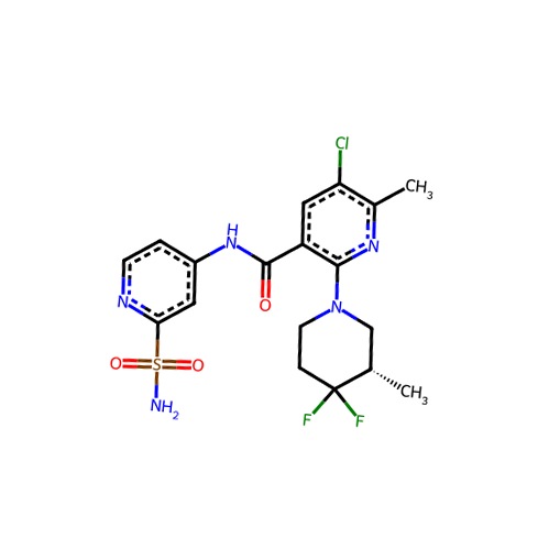 Cc1nc(N2CCC(F)(F)[C@@H](C)C2)c(C(=O)Nc2ccnc(S(N)(=O)=O)c2)cc1Cl